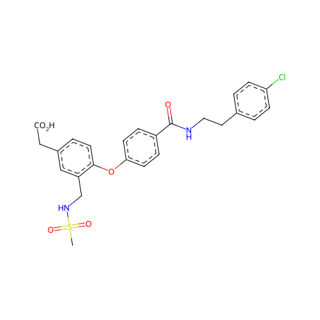 CS(=O)(=O)NCc1cc(CC(=O)O)ccc1Oc1ccc(C(=O)NCCc2ccc(Cl)cc2)cc1